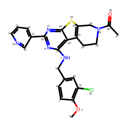 COc1ccc(CNc2nc(-c3cccnc3)nc3sc4c(c23)CCN(C(C)=O)C4)cc1Cl